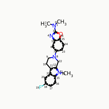 CN(C)c1nc2cc(N3CCc4c(n(C)c5ccc(F)cc45)C3)ccc2o1